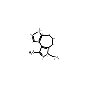 Cc1nn(C)c2c1-c1cn[nH]c1CCC2